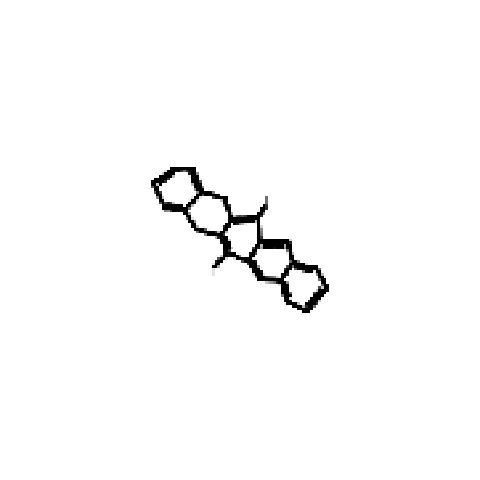 Ic1c2c(c(I)c3cc4ccccc4cc13)Cc1ccccc1C2